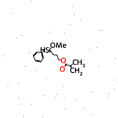 C=C(C)C(=O)OCCC[SiH](Cc1ccccc1)OC